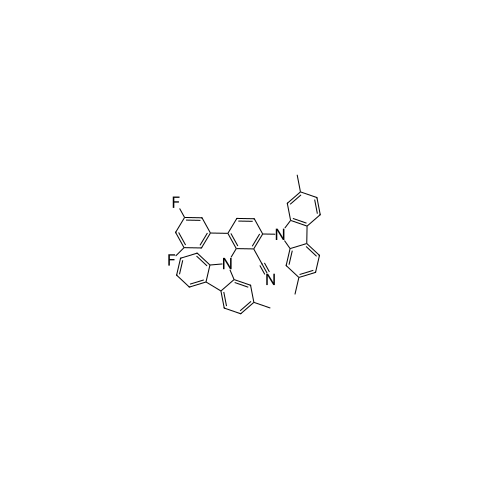 Cc1ccc2c3ccc(C)cc3n(-c3ccc(-c4cc(F)cc(F)c4)c(-n4c5ccccc5c5ccc(C)cc54)c3C#N)c2c1